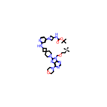 CC(C)(C)OC(=O)NC1CN(c2ccnc(NC3CC4(CCN(c5nc6c(N7CCOCC7)ncnc6n5COCC[Si](C)(C)C)CC4)C3)c2)C1